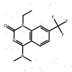 CCn1c(=O)nc(N(C)C)c2ccc(C(F)(F)F)cc21